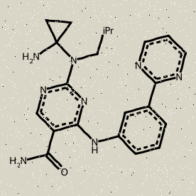 CC(C)CN(c1ncc(C(N)=O)c(Nc2cccc(-c3ncccn3)c2)n1)C1(N)CC1